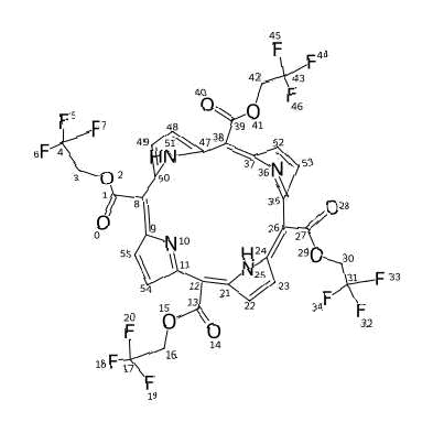 O=C(OCC(F)(F)F)c1c2nc(c(C(=O)OCC(F)(F)F)c3ccc([nH]3)c(C(=O)OCC(F)(F)F)c3nc(c(C(=O)OCC(F)(F)F)c4ccc1[nH]4)C=C3)C=C2